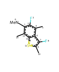 CNc1c(F)c(C)c2c(F)c(C)sc2c1C